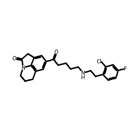 O=C(CCCCNCCc1ccc(F)cc1Cl)c1cc2c3c(c1)CC(=O)N3CCC2